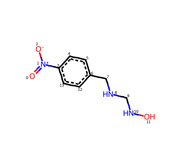 O=[N+]([O-])c1ccc(CNCNO)cc1